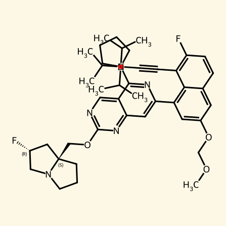 COCOc1cc(-c2cc3nc(OC[C@@]45CCCN4C[C@H](F)C5)ncc3c(N3CCCC3)n2)c2c(C#C[Si](C(C)C)(C(C)C)C(C)C)c(F)ccc2c1